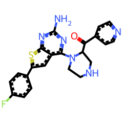 Nc1nc(N2CCNCC2C(=O)c2ccncc2)c2cc(-c3ccc(F)cc3)sc2n1